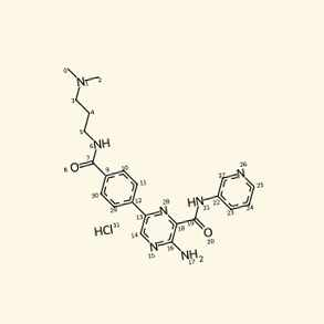 CN(C)CCCNC(=O)c1ccc(-c2cnc(N)c(C(=O)Nc3cccnc3)n2)cc1.Cl